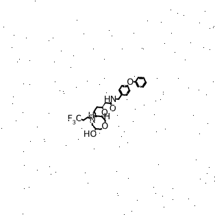 O=C(C[C@@H]1CC[C@@H]2[C@H](COC[C@@H](O)CN2CCC(F)(F)F)O1)NCc1ccc(Oc2ccccc2)cc1